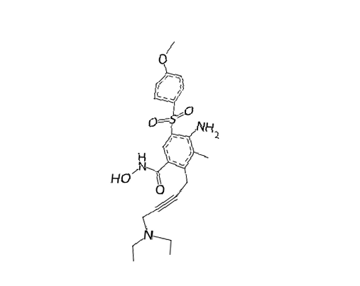 CCN(CC)CC#CCc1c(C(=O)NO)cc(S(=O)(=O)c2ccc(OC)cc2)c(N)c1C